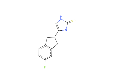 Fc1ccc2c(c1)CC(C1=CNC(=S)[N]1)C2